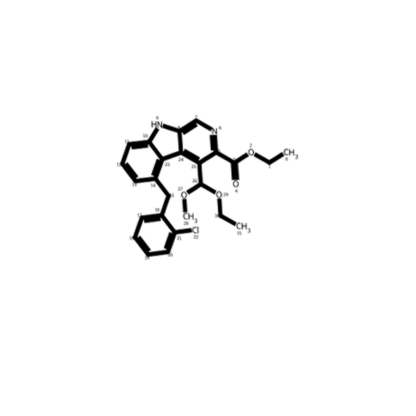 CCOC(=O)c1ncc2[nH]c3cccc(Cc4ccccc4Cl)c3c2c1C(OC)OCC